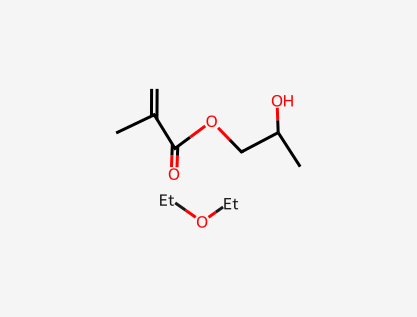 C=C(C)C(=O)OCC(C)O.CCOCC